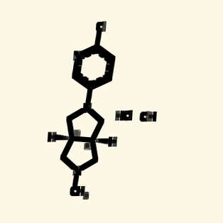 CN1C[C@@H]2CN(c3ccc(Cl)nc3)C[C@@H]2C1.Cl.Cl